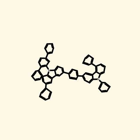 c1ccc(-c2ccc(-c3ccccc3)c(-n3c4ccc(-c5ccccc5)cc4c4cc(-c5ccc(-c6ccc7c(c6)c6c(-c8ccccc8)cccc6n7-c6ccccc6)cc5)ccc43)c2)cc1